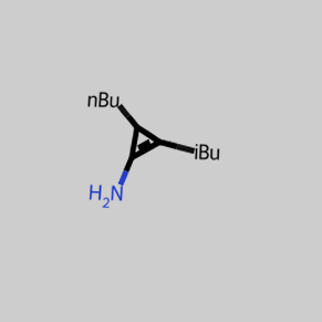 CCCCC1C(N)=C1C(C)CC